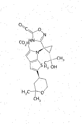 CC1(C)C[C@@H](c2cc3cc(C(=O)O)n([C@@]4(C5=NOC(=C=O)N5)C[C@@H]4C(C)(C)O)c3s2)CCO1